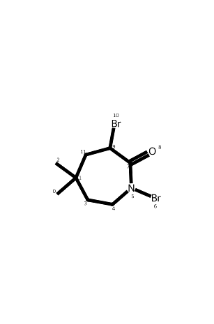 CC1(C)CCN(Br)C(=O)C(Br)C1